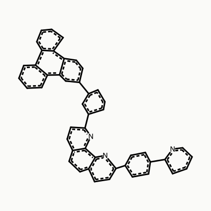 c1ccc(-c2ccc(-c3ccc4ccc5ccc(-c6cccc(-c7ccc8c9ccccc9c9ccccc9c8c7)c6)nc5c4n3)cc2)nc1